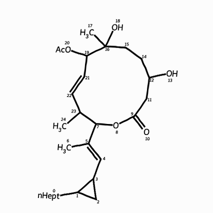 CCCCCCCC1CC1/C=C(\C)C1OC(=O)CC(O)CCC(C)(O)C(OC(C)=O)/C=C/C1C